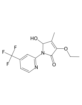 CCOC1=C(C)C(O)N(c2cc(C(F)(F)F)ccn2)C1=O